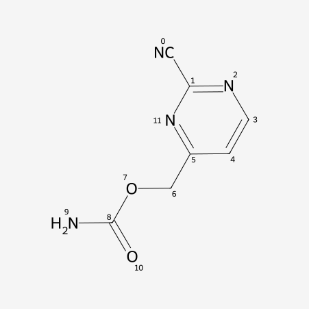 N#Cc1nccc(COC(N)=O)n1